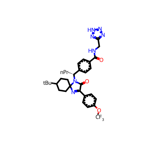 CCC[C@H](c1ccc(C(=O)NCc2nn[nH]n2)cc1)N1C(=O)C(c2ccc(OC(F)(F)F)cc2)=NC12CCC(C(C)(C)C)CC2